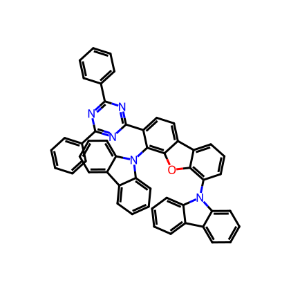 c1ccc(-c2nc(-c3ccccc3)nc(-c3ccc4c(oc5c(-n6c7ccccc7c7ccccc76)cccc54)c3-n3c4ccccc4c4ccccc43)n2)cc1